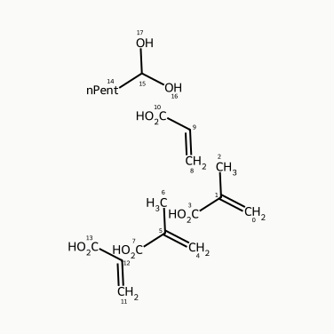 C=C(C)C(=O)O.C=C(C)C(=O)O.C=CC(=O)O.C=CC(=O)O.CCCCCC(O)O